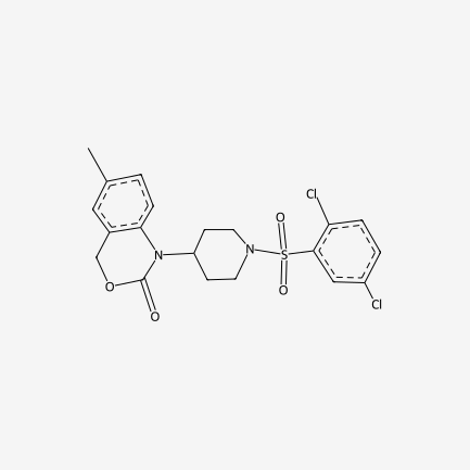 Cc1ccc2c(c1)COC(=O)N2C1CCN(S(=O)(=O)c2cc(Cl)ccc2Cl)CC1